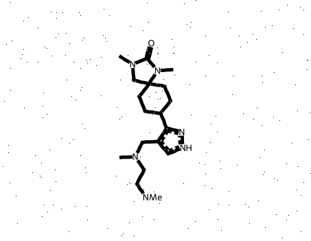 CNCCN(C)Cc1c[nH]nc1C1CCC2(CC1)CN(C)C(=O)N2C